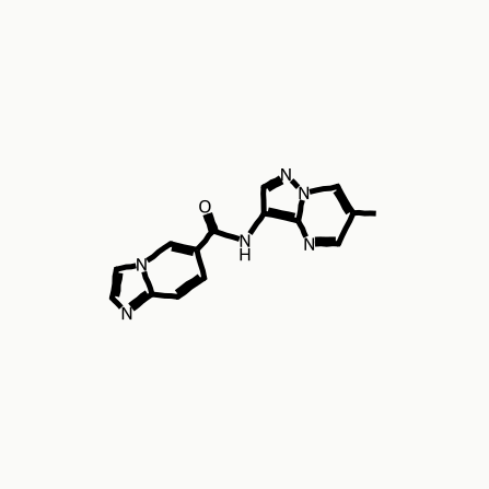 Cc1cnc2c(NC(=O)c3ccc4nccn4c3)cnn2c1